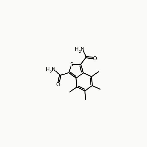 Cc1c(C)c(C)c2c(C(N)=O)sc(C(N)=O)c2c1C